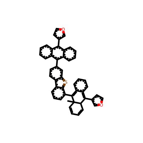 CC12C=CC=CC1C(c1ccoc1)=c1ccccc1=C2c1cccc2c1sc1cc(-c3c4ccccc4c(-c4ccoc4)c4ccccc34)ccc12